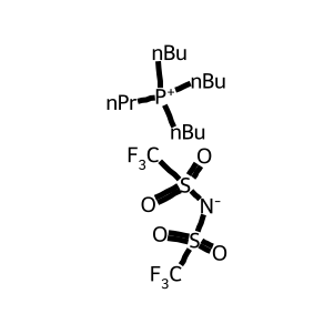 CCCC[P+](CCC)(CCCC)CCCC.O=S(=O)([N-]S(=O)(=O)C(F)(F)F)C(F)(F)F